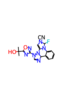 CC(C)(O)c1nc(N2C=NC3c4ccccc4N4C(=CN(C#N)C4F)N32)no1